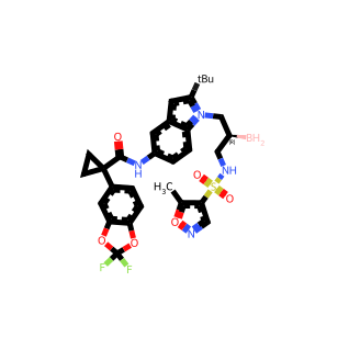 B[C@@H](CNS(=O)(=O)c1cnoc1C)Cn1c(C(C)(C)C)cc2cc(NC(=O)C3(c4ccc5c(c4)OC(F)(F)O5)CC3)ccc21